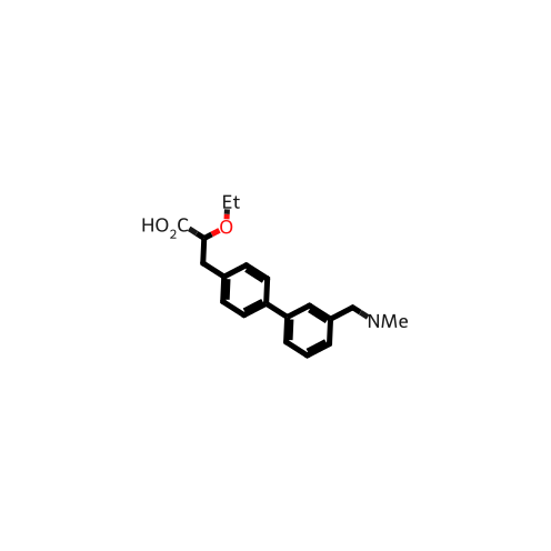 CCOC(Cc1ccc(-c2cccc(CNC)c2)cc1)C(=O)O